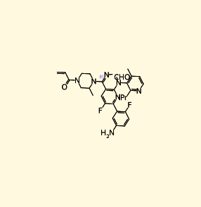 C=CC(=O)N1CCN(/C(=N/C)c2cc(F)c(-c3cc(N)ccc3F)nc2N(C=O)c2c(C)ccnc2C(C)C)C(C)C1